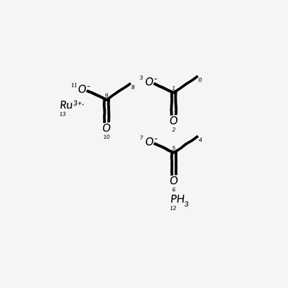 CC(=O)[O-].CC(=O)[O-].CC(=O)[O-].P.[Ru+3]